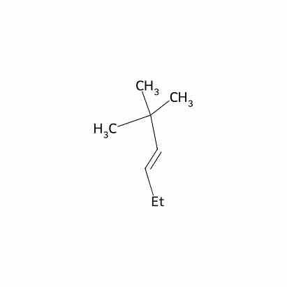 CCC=CC(C)(C)C